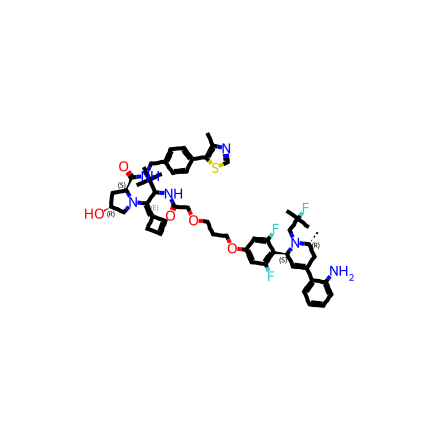 Cc1ncsc1-c1ccc(CNC(=O)[C@@H]2C[C@@H](O)CN2/C(=C2/C=CC2)C(NC(=O)COCCCOc2cc(F)c([C@@H]3C=C(c4ccccc4N)C[C@@H](C)N3CC(C)(C)F)c(F)c2)C(C)(C)C)cc1